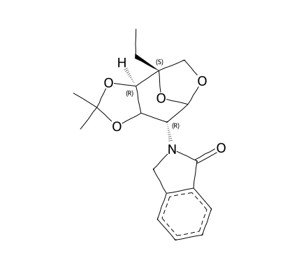 CC[C@@]12COC(O1)[C@H](N1Cc3ccccc3C1=O)C1OC(C)(C)O[C@H]12